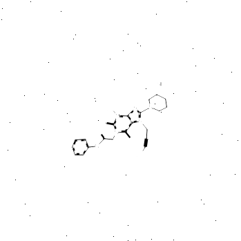 CC#CCn1c(N2CCC[C@@H](N)C2)nc2c1c(=O)n(CC(=O)Nc1ccccc1)c(=O)n2C